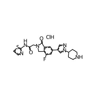 Cl.O=C(CN1Cc2c(F)cc(-c3cnn(C4CCNCC4)c3)cc2C1=O)Nc1nccs1